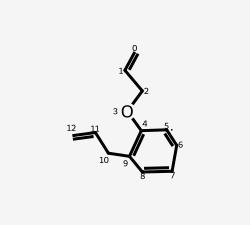 C=CCOc1[c]cccc1CC=C